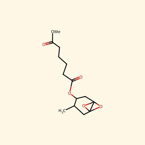 COC(=O)CCCCC(=O)OC1CC23OC2(CC1C)O3